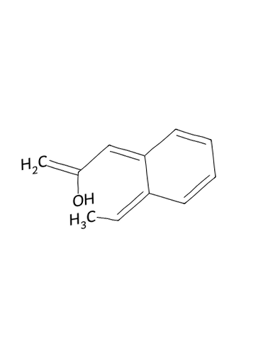 C=C(O)/C=c1/cccc/c1=C/C